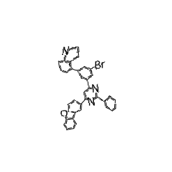 Brc1cc(-c2cc(-c3ccc4oc5ccccc5c4c3)nc(-c3ccccc3)n2)cc(-c2cccc3ncccc23)c1